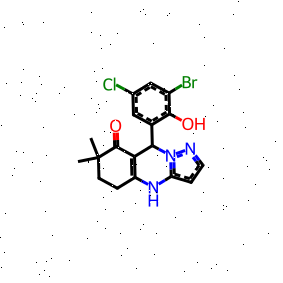 CC1(C)CCC2=C(C1=O)C(c1cc(Cl)cc(Br)c1O)n1nccc1N2